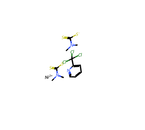 CN(C)C(=S)[S-].CN(C)C(=S)[S-].ClC(Cl)(Cl)c1ccccn1.[Ni+2]